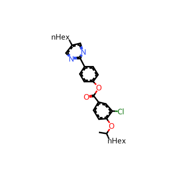 CCCCCCc1cnc(-c2ccc(OC(=O)c3ccc(OC(C)CCCCCC)c(Cl)c3)cc2)nc1